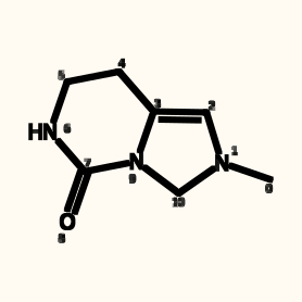 CN1C=C2CCNC(=O)N2C1